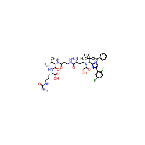 CC(C)[C@H](NC(=O)CCNC(=O)[C@@H](N)CCN(C(=O)CO)[C@@H](c1nc(-c2cc(F)ccc2F)cn1Cc1ccccc1)C(C)(C)C)C(=O)N[C@@H](CCCNC(N)=O)C(=O)O